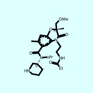 CCCN(C(=O)c1cc2c(cc1C)O[C@](C)(COC)C(=O)N2CCNC(=O)CC)[C@@H]1CCCNC1